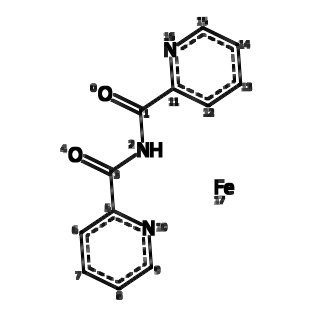 O=C(NC(=O)c1ccccn1)c1ccccn1.[Fe]